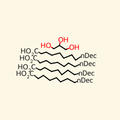 CCCCCCCCCCCCCCCCCC(=O)O.CCCCCCCCCCCCCCCCCC(=O)O.CCCCCCCCCCCCCCCCCC(=O)O.CCCCCCCCCCCCCCCCCC(=O)O.OCC(O)CO